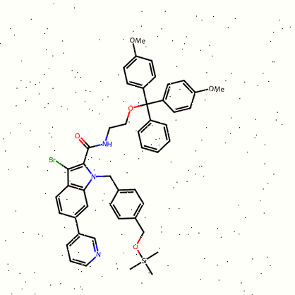 COc1ccc(C(OCCNC(=O)c2c(Br)c3ccc(-c4cccnc4)cc3n2Cc2ccc(CO[Si](C)(C)C)cc2)(c2ccccc2)c2ccc(OC)cc2)cc1